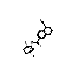 N#Cc1cccc2cc(C(=O)N[C@@H]3C[C@H]4CC[C@@H]3N4)ccc12